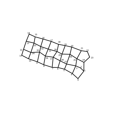 C1C2CC34C1C1C5C6C7C8C9CC%10C%11CC%12C%13C%14C%15C%16C%17C%18CCC2C%183C%172C14C51C%162C%152C%143C%134C%11%12C%109C84C73C612